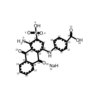 Nc1c(S(=O)(=O)O)cc(Nc2ccc(C(=O)O)cc2)c2c1C(=O)c1ccccc1C2=O.[NaH]